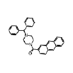 O=C(c1ccc2cc3ccccc3cc2c1)N1CCN(C(c2ccccc2)c2ccccc2)CC1